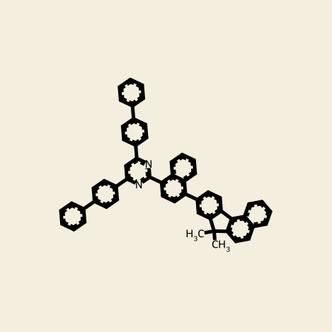 CC1(C)c2cc(-c3ccc(-c4nc(-c5ccc(-c6ccccc6)cc5)cc(-c5ccc(-c6ccccc6)cc5)n4)c4ccccc34)ccc2-c2c1ccc1ccccc21